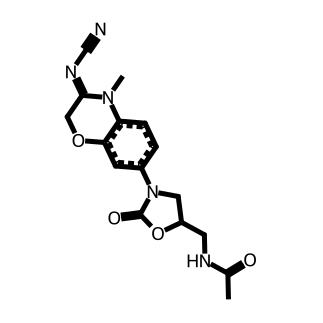 CC(=O)NCC1CN(c2ccc3c(c2)OCC(=NC#N)N3C)C(=O)O1